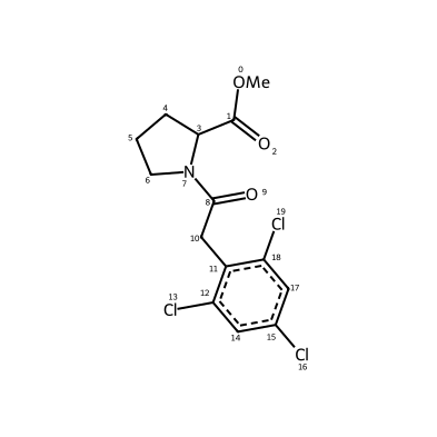 COC(=O)C1CCCN1C(=O)Cc1c(Cl)cc(Cl)cc1Cl